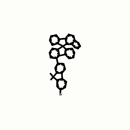 CC1(C)c2cc(Br)ccc2-c2ccc(-c3cccc4c3-c3ccccc3C43c4ccccc4-c4ccc5ccccc5c43)cc21